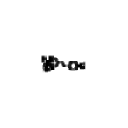 NCC(CCc1ccc(Cl)cc1)Cn1cncn1